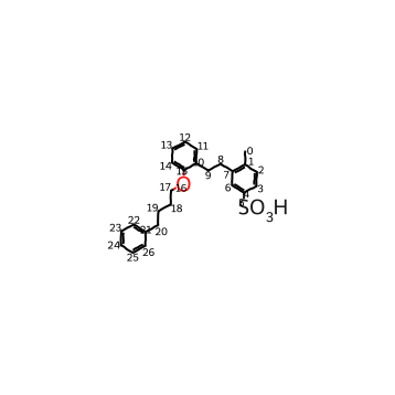 Cc1ccc(S(=O)(=O)O)cc1CCc1ccccc1OCCCCc1ccccc1